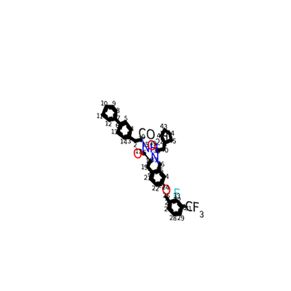 O=C(O)[C@H](Cc1ccc(-c2ccccc2)cc1)NC(=O)[C@@H]1Cc2ccc(OCc3cccc(C(F)(F)F)c3F)cc2CN1C(=O)CC1CCCC1